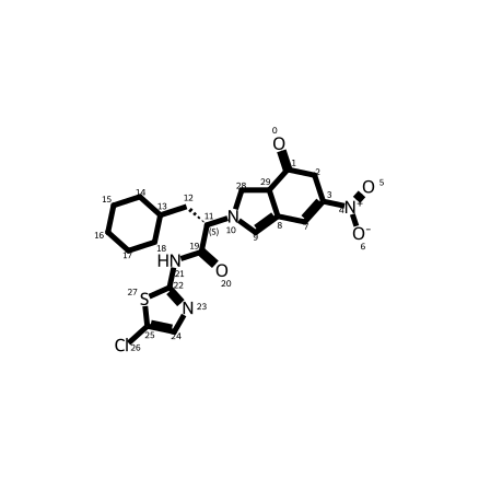 O=C1CC([N+](=O)[O-])=CC2=CN([C@@H](CC3CCCCC3)C(=O)Nc3ncc(Cl)s3)CC12